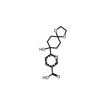 O=C(O)c1ccc(C2(O)CCC3(CC2)OCCO3)nc1